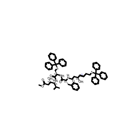 COC(=O)C[C@H](O)[C@H](NC(=O)[C@@H](CSC(c1ccccc1)(c1ccccc1)c1ccccc1)NC(=O)[C@@H](Cc1ccccc1)NC(=O)C[C@H](O)/C=C/CCSC(c1ccccc1)(c1ccccc1)c1ccccc1)C(C)C